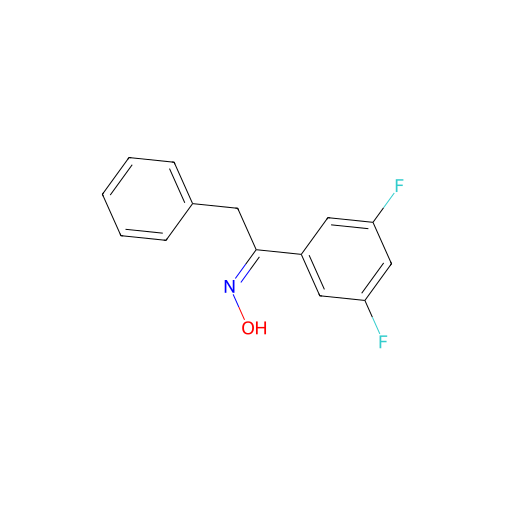 ON=C(Cc1ccccc1)c1cc(F)cc(F)c1